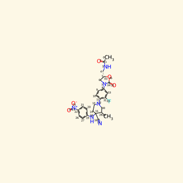 CC(=O)NC[C@H]1CN(c2ccc(N3CCC(C#N)(Nc4ccc([N+](=O)[O-])cc4)C(C)C3)c(F)c2)C(=O)O1